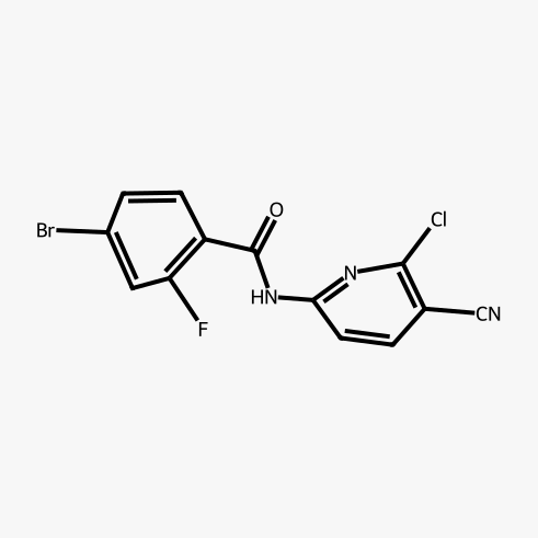 N#Cc1ccc(NC(=O)c2ccc(Br)cc2F)nc1Cl